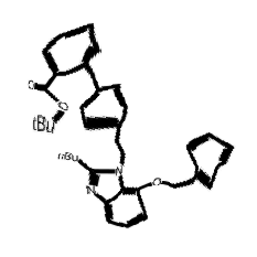 CCCCc1nc2cccc(OCc3ccccc3)c2n1Cc1ccc(-c2ccccc2C(=O)OC(C)(C)C)cc1